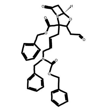 O=CCC1O[C@@H]2CC(=O)N2C1(CC=CCN(Cc1ccccc1)C(=O)OCc1ccccc1)C(=O)OCc1ccccc1